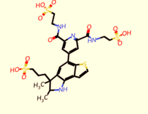 CC1Nc2c(cc(-c3cc(C(=O)NCCS(=O)(=O)O)nc(C(=O)NCCS(=O)(=O)O)c3)c3sccc23)C1(C)CCCS(=O)(=O)O